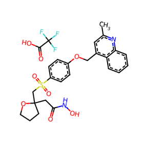 Cc1cc(COc2ccc(S(=O)(=O)CC3(CC(=O)NO)CCCO3)cc2)c2ccccc2n1.O=C(O)C(F)(F)F